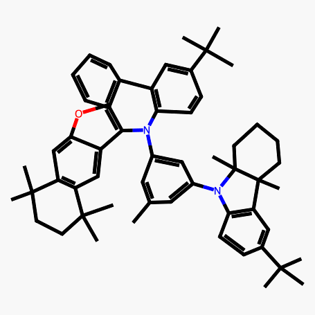 Cc1cc(N(c2ccc(C(C)(C)C)cc2-c2ccccc2)c2coc3cc4c(cc23)C(C)(C)CCC4(C)C)cc(N2c3ccc(C(C)(C)C)cc3C3(C)CCCCC23C)c1